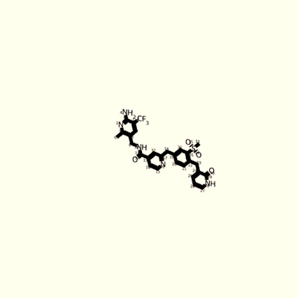 Cc1nc(N)c(C(F)(F)F)cc1CNC(=O)c1ccnc(Cc2ccc(Cc3ccc[nH]c3=O)c(S(C)(=O)=O)c2)c1